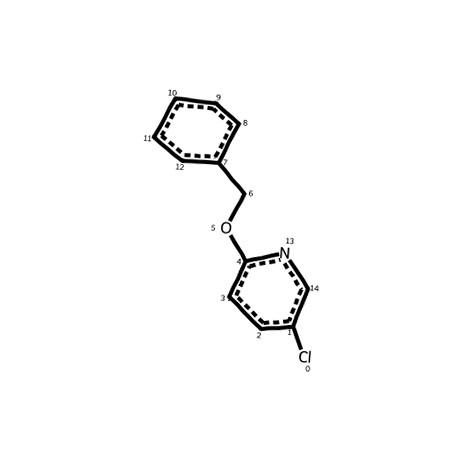 Clc1c[c]c(OCc2ccccc2)nc1